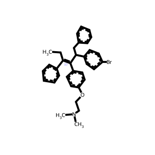 CC/C(=C(/c1ccc(OCCN(C)C)cc1)C(Cc1ccccc1)c1ccc(Br)cc1)c1ccccc1